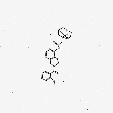 COc1ccccc1C(=O)N1CCc2c(ncnc2NC(=O)CC23CC4CC(CC(C4)C2)C3)C1